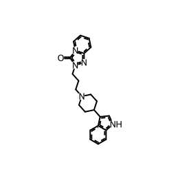 O=c1n(CCCN2CCC(c3c[nH]c4ccccc34)CC2)nc2ccccn12